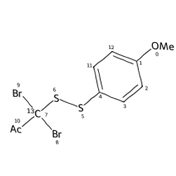 COc1ccc(SS[13C](Br)(Br)C(C)=O)cc1